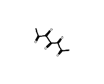 CC(=O)C(=O)C(=O)C(=O)C(C)=O